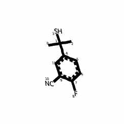 CC(C)(S)c1ccc(F)c(C#N)c1